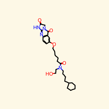 O=C1Cn2c(nc3ccc(OCCCCCC(=O)N(CCO)CCCCC4CCCCC4)cc3c2=O)N1